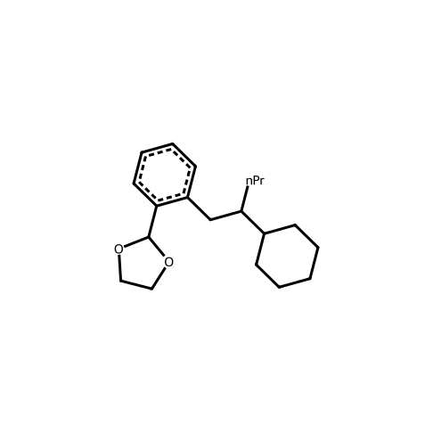 CCCC(Cc1ccccc1C1OCCO1)C1CCCCC1